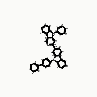 c1ccc(-c2ccc(-n3c4ccccc4c4ccc(-c5cc6c(cn5)c5ccccc5n6-c5ccccc5)cc43)cc2)cc1